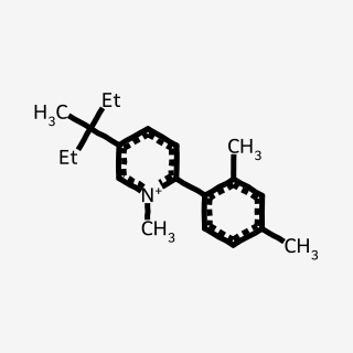 CCC(C)(CC)c1ccc(-c2ccc(C)cc2C)[n+](C)c1